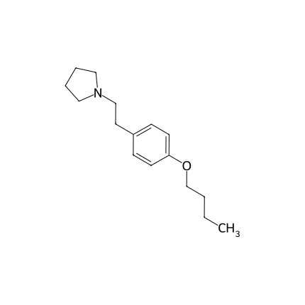 CCCCOc1ccc(CCN2CCCC2)cc1